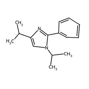 CC(C)c1cn(C(C)C)c(-c2ccccc2)n1